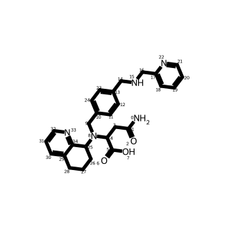 NC(=O)CC(C(=O)O)N(Cc1ccc(CNCc2ccccn2)cc1)C1CCCc2cccnc21